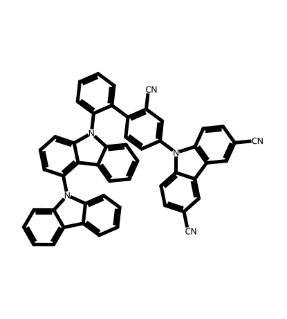 N#Cc1ccc2c(c1)c1cc(C#N)ccc1n2-c1ccc(-c2ccccc2-n2c3ccccc3c3c(-n4c5ccccc5c5ccccc54)cccc32)c(C#N)c1